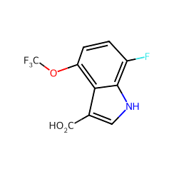 O=C(O)c1c[nH]c2c(F)ccc(OC(F)(F)F)c12